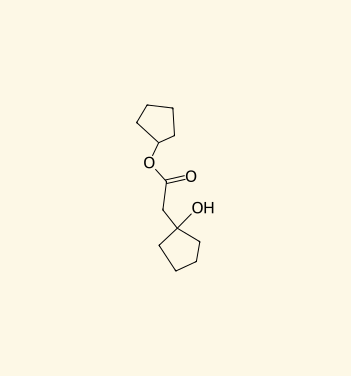 O=C(CC1(O)CCCC1)OC1CCCC1